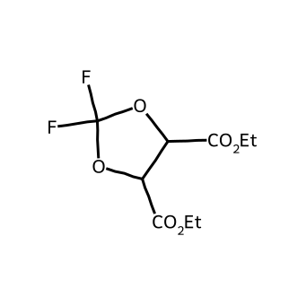 CCOC(=O)C1OC(F)(F)OC1C(=O)OCC